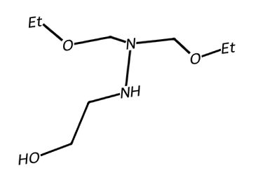 CCOCN(COCC)NCCO